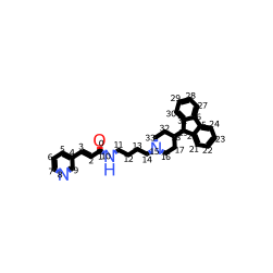 O=C(C=Cc1cccnc1)NCCCCN1CCC(C2c3ccccc3-c3ccccc32)CC1